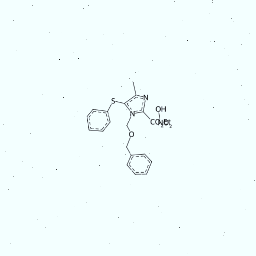 CCOC(=O)c1nc(C)c(Sc2ccccc2)n1COCc1ccccc1.O=[N+]([O-])O